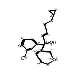 OC(CCCCC1CC1)(c1cccc(Cl)c1)C1CCCNC1